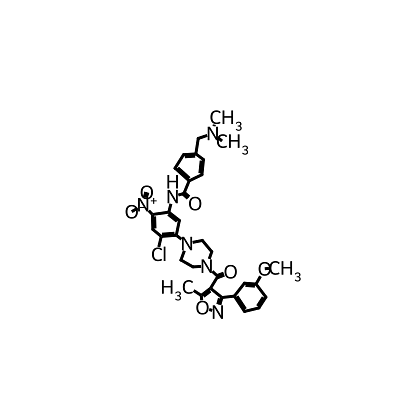 COc1cccc(-c2noc(C)c2C(=O)N2CCN(c3cc(NC(=O)c4ccc(CN(C)C)cc4)c([N+](=O)[O-])cc3Cl)CC2)c1